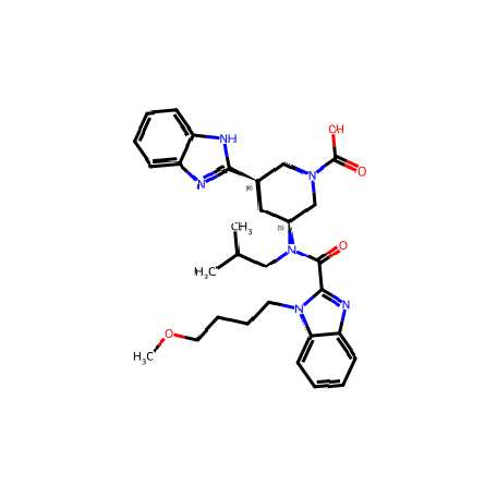 COCCCCn1c(C(=O)N(CC(C)C)[C@H]2C[C@@H](c3nc4ccccc4[nH]3)CN(C(=O)O)C2)nc2ccccc21